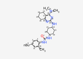 CCCCc1ccc(NC(=O)NC2CCC(Nc3nc4c(c(N(C)C)n3)CCCC4)CC2)c(C)c1